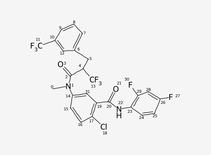 CN(C(=O)C(Cc1cccc(C(F)(F)F)c1)C(F)(F)F)c1ccc(Cl)c(C(=O)Nc2ccc(F)cc2F)c1